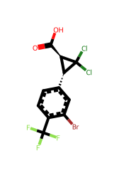 O=C(O)[C@@H]1[C@@H](c2ccc(C(F)(F)F)c(Br)c2)C1(Cl)Cl